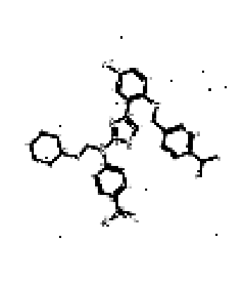 CC(C)c1ccc(COc2ccc(Cl)cc2-c2csc(N(CCC3CCCCC3)c3ccc(C(=O)O)cc3)n2)cc1